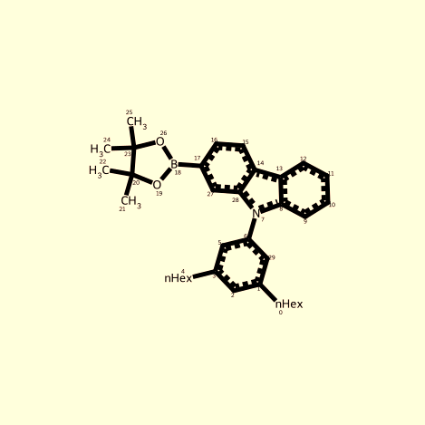 CCCCCCc1cc(CCCCCC)cc(-n2c3ccccc3c3ccc(B4OC(C)(C)C(C)(C)O4)cc32)c1